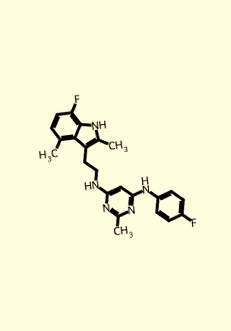 Cc1nc(NCCc2c(C)[nH]c3c(F)ccc(C)c23)cc(Nc2ccc(F)cc2)n1